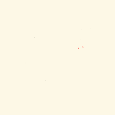 Oc1c(CN2CCOCC2)cc(C2CCC3(OOCOO3)C3(C2)C2CC4CC(C2)CC3C4)cc1CN1CCOCC1